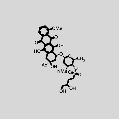 CN[C@H]1C[C@H](O[C@H]2C[C@](O)(C(C)=O)Cc3c(O)c4c(c(O)c32)C(=O)c2c(OC)cccc2C4=O)O[C@@H](C)[C@H]1OS(=O)(=O)CCC(O)CO